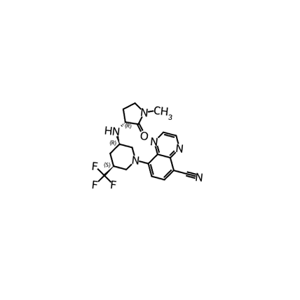 CN1CC[C@@H](N[C@@H]2C[C@H](C(F)(F)F)CN(c3ccc(C#N)c4nccnc34)C2)C1=O